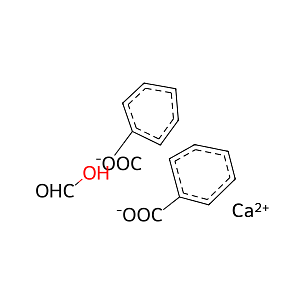 O=C([O-])c1ccccc1.O=C([O-])c1ccccc1.O=CO.[Ca+2]